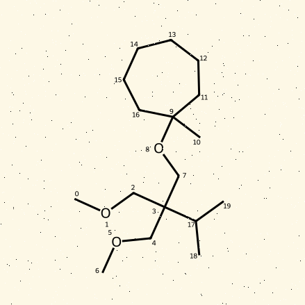 COCC(COC)(COC1(C)CCCCCC1)C(C)C